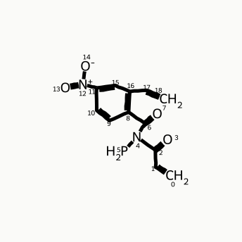 C=CC(=O)N(P)C(=O)c1ccc([N+](=O)[O-])cc1C=C